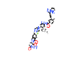 Cc1ccc(C(=O)Nc2ccc(N3CCN(Cc4cc5c(cc4F)C(=O)N(C4CCC(=O)NC4=O)C5)CC3)c(C(F)(F)F)c2)cc1C#Cc1cnc2cccnn12